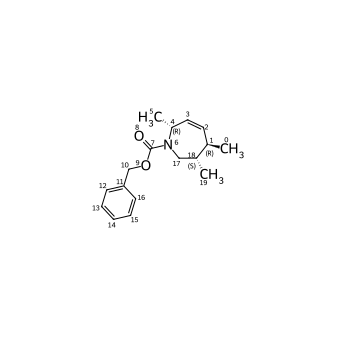 C[C@@H]1C=C[C@@H](C)N(C(=O)OCc2ccccc2)C[C@H]1C